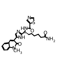 Cn1c(=O)c(-c2cnc([C@H](CCCCCC(N)=O)NC(=O)c3cncs3)[nH]2)cc2ccccc21